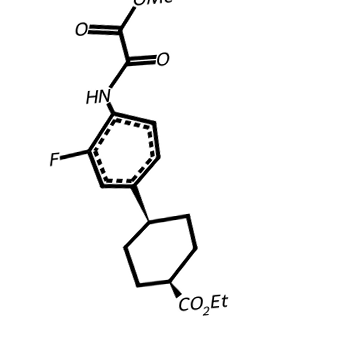 CCOC(=O)[C@H]1CC[C@@H](c2ccc(NC(=O)C(=O)OC)c(F)c2)CC1